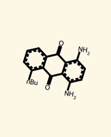 CCCCc1cccc2c1C(=O)c1c(N)ccc(N)c1C2=O